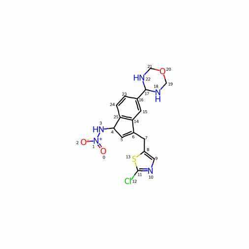 O=[N+]([O-])NC1C=C(Cc2cnc(Cl)s2)c2cc(C3NCOCN3)ccc21